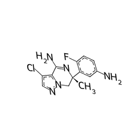 C[C@@]1(c2cc(N)ccc2F)Cn2ncc(Cl)c2C(N)=N1